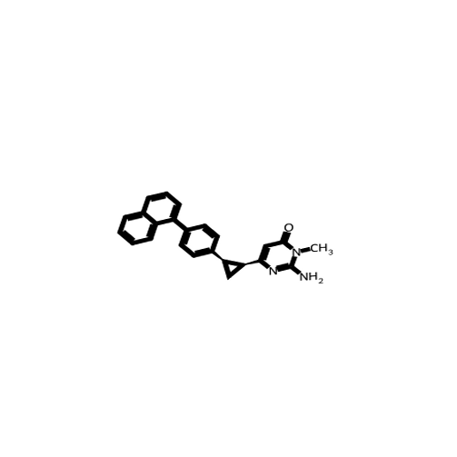 Cn1c(N)nc([C@H]2C[C@H]2c2ccc(-c3cccc4ccccc34)cc2)cc1=O